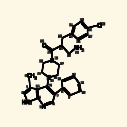 Cc1c[nH]c2ncc(-c3ccccc3)c(N3CCN(C(=O)C(CN)Cc4ccc(Cl)cc4)CC3)c12